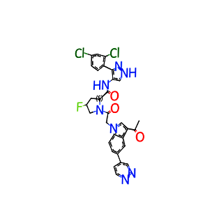 CC(=O)c1cn(CC(=O)N2CC(F)C[C@H]2C(=O)Nc2c[nH]nc2-c2ccc(Cl)cc2Cl)c2ccc(-c3ccnnc3)cc12